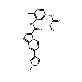 Cc1ncc(NC(=O)OC(C)(C)C)cc1NC(=O)c1nnc2cc(-c3cnn(C)c3)ccn12